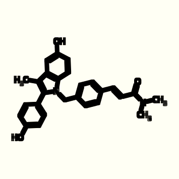 Cc1c(-c2ccc(O)cc2)n(Cc2ccc(C=CC(=O)N(C)C)cc2)c2ccc(O)cc12